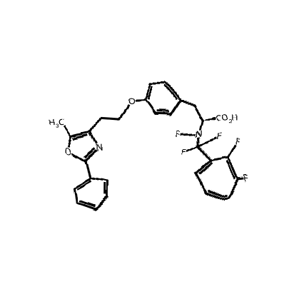 Cc1oc(-c2ccccc2)nc1CCOc1ccc(C[C@@H](C(=O)O)N(F)C(F)(F)c2cccc(F)c2F)cc1